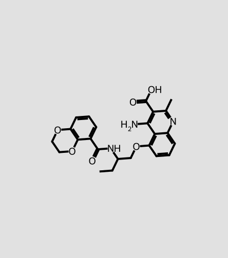 CCC(COc1cccc2nc(C)c(C(=O)O)c(N)c12)NC(=O)c1cccc2c1OCCO2